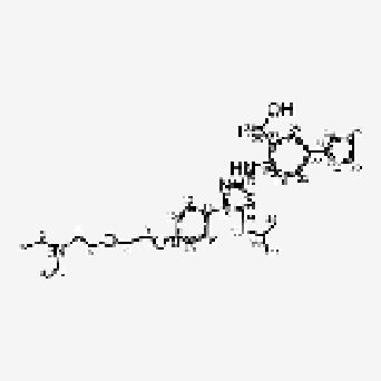 CCN(CC)CCOCCOc1ccc(-c2nc(Nc3ncc(-c4cccs4)cc3C(=O)O)sc2CC(C)C)cc1